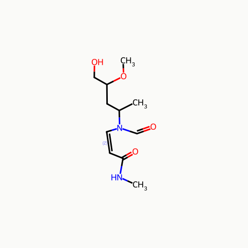 CNC(=O)/C=C\N(C=O)C(C)CC(CO)OC